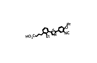 [C-]#[N+]c1cc(-c2ncc(-c3cccc(CCCC(=O)O)c3CC)s2)ccc1OC(C)C